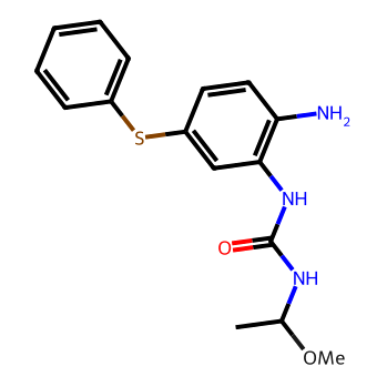 COC(C)NC(=O)Nc1cc(Sc2ccccc2)ccc1N